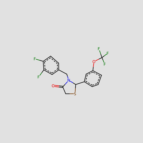 O=C1CSC(c2cccc(OC(F)(F)F)c2)N1Cc1ccc(F)c(F)c1